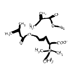 C=C(C)C(=O)OCCC(C(=O)[O-])[N+](C)(C)C.C=C(C)C(=O)OCCCC